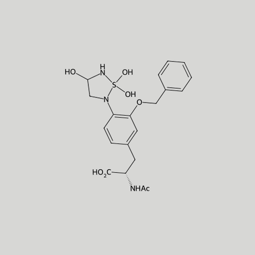 CC(=O)N[C@@H](Cc1ccc(N2CC(O)NS2(O)O)c(OCc2ccccc2)c1)C(=O)O